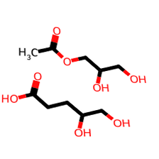 CC(=O)OCC(O)CO.O=C(O)CCC(O)CO